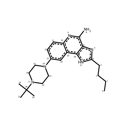 CCCCc1nc2c(N)nc3ccc(N4CCN(C(C)(C)C)CC4)cc3c2[nH]1